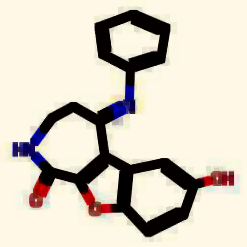 O=C1NCC/C(=N\c2ccccc2)c2c1oc1ccc(O)cc21